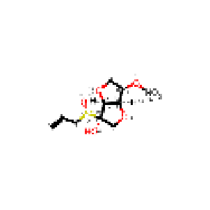 C=CC[S@+]([O-])[C@]1(O)CO[C@@H]2[C@H](O[N+](=O)[O-])CO[C@@H]21